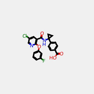 O=C(O)c1ccc(C2(NC(=O)c3cc(Cl)cnc3Oc3cccc(F)c3)CC2)cc1